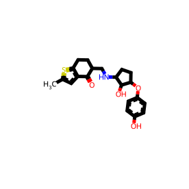 Cc1cc2c(s1)CCC(CNC1CCC(Oc3ccc(O)cc3)C1O)C2=O